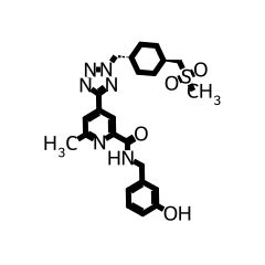 Cc1cc(-c2nnn(C[C@H]3CC[C@H](CS(C)(=O)=O)CC3)n2)cc(C(=O)NCc2cccc(O)c2)n1